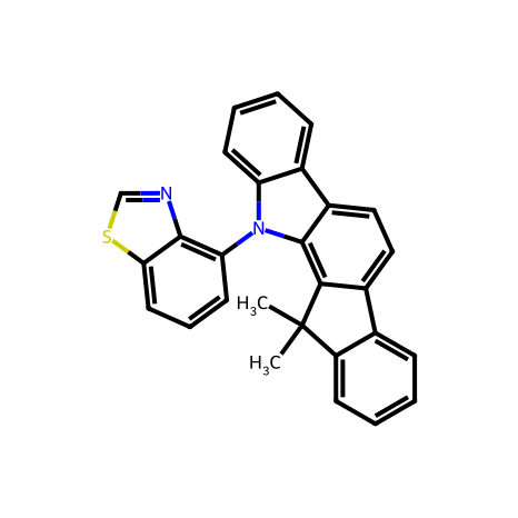 CC1(C)c2ccccc2-c2ccc3c4ccccc4n(-c4cccc5scnc45)c3c21